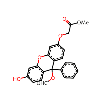 COC(=O)COc1ccc2c(c1)Oc1cc(O)ccc1C2(OC=O)c1ccccc1